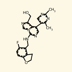 Cc1ncc(-c2cnc(NCc3c(F)ccc4c3CCO4)n3cnc(CO)c23)c(C)n1